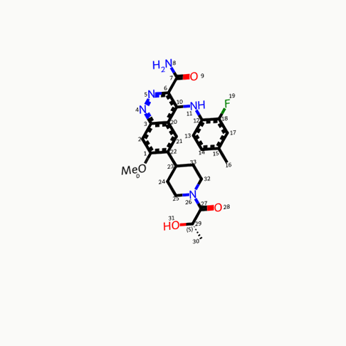 COc1cc2nnc(C(N)=O)c(Nc3ccc(C)cc3F)c2cc1C1CCN(C(=O)[C@H](C)O)CC1